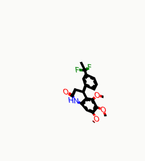 COc1cc2c(c(OC)c1OC)C(c1cccc(C(C)(F)F)c1)CC(=O)N2